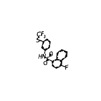 O=S(=O)(Nc1cccc(SC(F)(F)F)c1)c1ccc(F)c2ccccc12